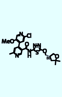 COc1cnc(Cl)cc1-c1cc(C)ncc1C(=O)Nc1nnc(OC[C@@H]2COC(C)(C)C2)s1